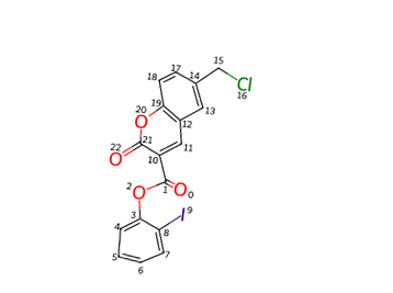 O=C(Oc1ccccc1I)c1cc2cc(CCl)ccc2oc1=O